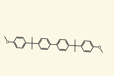 COc1ccc(C(C)(C)c2ccc(-c3ccc(C(C)(C)c4ccc(OC)cc4)cc3)cc2)cc1